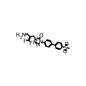 CS(=O)(=O)c1ccc(-c2ccc(-n3nnn(CC(CN)=C(F)F)c3=O)cc2)cc1